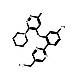 N#Cc1ccc(-c2ncc(CN)cn2)c(Oc2cc(Cl)nnc2N2CCCCC2)c1